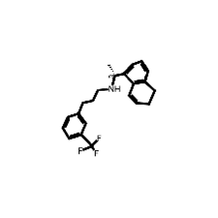 C[C@@H](NCCCc1cccc(C(F)(F)F)c1)c1cccc2c1C=CCC2